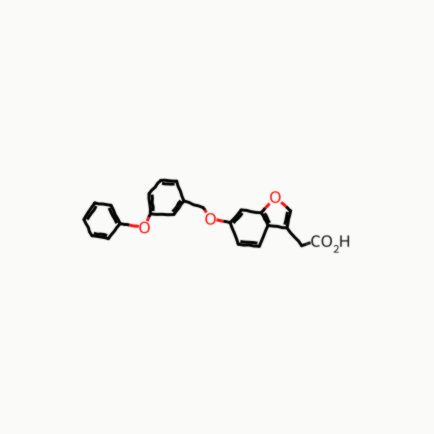 O=C(O)Cc1coc2cc(OCc3cccc(Oc4ccccc4)c3)ccc12